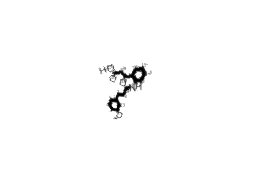 COc1cccc(C=CC(=O)Nc2ccccc2CCC(=O)O)c1